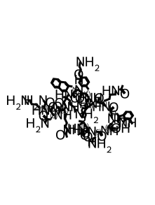 CC(=O)NCCCC[C@@H]1NC(=O)[C@H](Cc2c[nH]c3c(C)cccc23)NC(=O)[C@H]([C@@H](C)O)NC(=O)[C@H](CC(N)=O)NC(=O)[C@@H](NC(C)=O)C(C)(C)SSC(C)(C)[C@@H](C(=O)N[C@@H](Cc2ccc(OCCN)cc2)C(=O)N[C@@H](Cc2ccc3ccccc3c2)C(=O)NC(C)(CCCCN)C(=O)N[C@@H](CCCCNC(C)=O)C(=O)N[C@@H](CC(N)=O)C(=O)N[C@H](CCCCN)C(N)=O)NC1=O